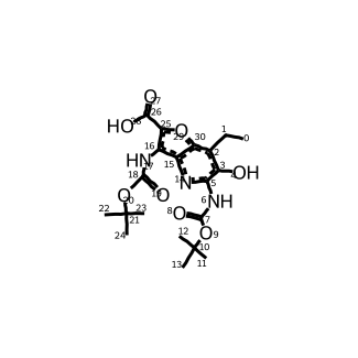 CCc1c(O)c(NC(=O)OC(C)(C)C)nc2c(NC(=O)OC(C)(C)C)c(C(=O)O)oc12